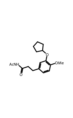 COc1ccc(CCC(=O)NC(C)=O)cc1OC1CCCC1